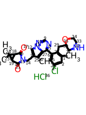 Cc1cc(Cl)cc(-c2ncnn3cc(CN4C(=O)C5C(C4=O)C5(C)C)c(C)c23)c1CC1CNCCO1.Cl